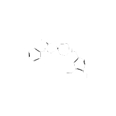 CCc1cc(CN2CCC3(CC2)CN(c2ccccc2)C(=O)O3)ccc1Cl